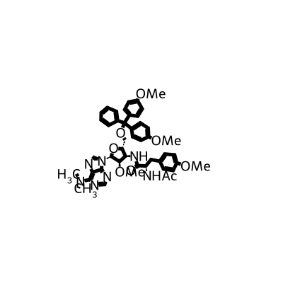 COc1ccc(C[C@H](NC(C)=O)C(=O)N[C@H]2[C@@H](OC)[C@H](n3cnc4c(N(C)C)ncnc43)O[C@@H]2COC(c2ccccc2)(c2ccc(OC)cc2)c2ccc(OC)cc2)cc1